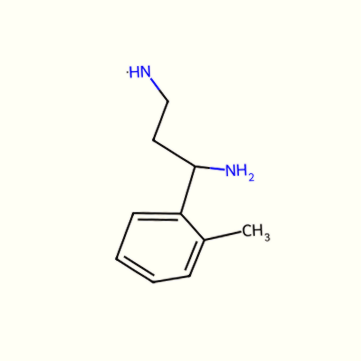 Cc1ccccc1C(N)CC[NH]